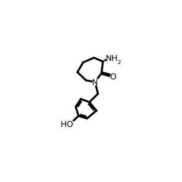 N[C@@H]1CCCCN(Cc2ccc(O)cc2)C1=O